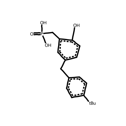 CC(C)(C)c1ccc(Cc2ccc(O)c(CP(=O)(O)O)c2)cc1